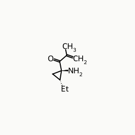 C=C(C)C(=O)[C@@]1(N)C[C@H]1CC